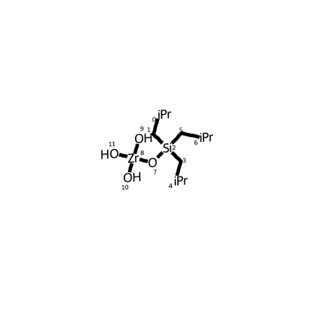 CC(C)C[Si](CC(C)C)(CC(C)C)[O][Zr]([OH])([OH])[OH]